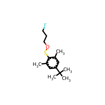 Cc1cc(C(C)(C)C)cc(C)c1SOCCCF